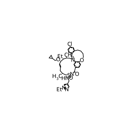 CC[C@H]1[C@@H](OCC2CC2)/C=C/C[C@H](C)CS(=O)(NCc2cnn(CC)c2)=NC(=O)c2ccc3c(c2)N(Cc2ccc(Cl)cc2CCCCO3)C[C@@H]1C